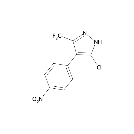 O=[N+]([O-])c1ccc(-c2c(C(F)(F)F)n[nH]c2Cl)cc1